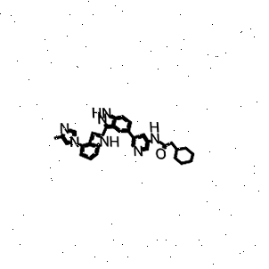 Cc1cn(-c2cccc3[nH]c(-c4n[nH]c5ccc(-c6cncc(NC(=O)CC7CCCCC7)c6)cc45)cc23)cn1